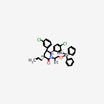 C=CC[C@@H]1CC(c2cccc(Cl)c2)[C@@H](c2ccc(Cl)cc2)N(C(CC)CO[Si](c2ccccc2)(c2ccccc2)C(C)(C)C)C1=O